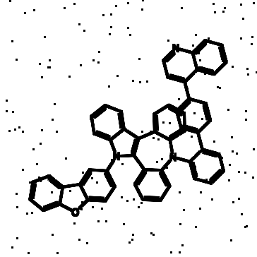 c1ccc(N2c3ccccc3-c3c(n(-c4ccc5oc6ccccc6c5c4)c4ccccc34)-c3ccccc32)c(-c2ccc(-c3ccnc4ccccc34)cc2)c1